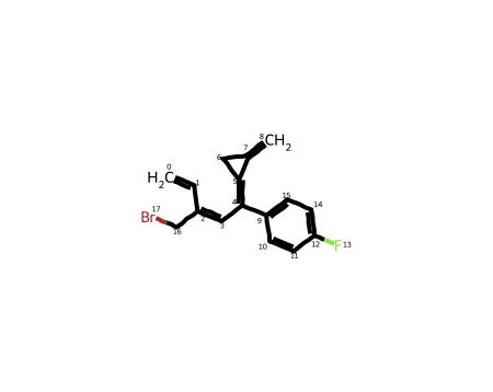 C=C/C(=C\C(=C1/CC1=C)c1ccc(F)cc1)CBr